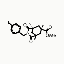 COC(=O)[C@]1(C)CC2(C)C[C@](C)(C1)C(=O)N(Cc1ccc(I)cc1)C2=O